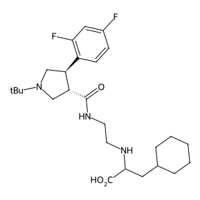 CC(C)(C)N1C[C@@H](C(=O)NCCNC(CC2CCCCC2)C(=O)O)[C@H](c2ccc(F)cc2F)C1